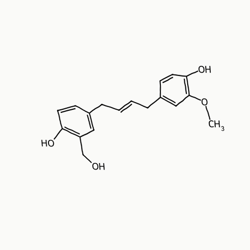 COc1cc(C/C=C/Cc2ccc(O)c(CO)c2)ccc1O